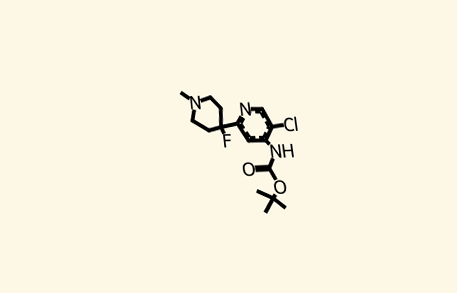 CN1CCC(F)(c2cc(NC(=O)OC(C)(C)C)c(Cl)cn2)CC1